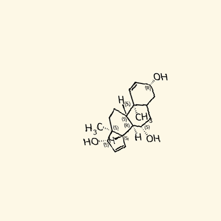 C[C@]12CC[C@H]3[C@@H]([C@@H](O)CC4C[C@@H](O)C=C[C@@]43C)[C@@H]1C=C[C@@H]2O